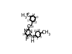 CC1=CC=C(Nc2nc(OCc3cccc(C)c3)ncc2F)CC1